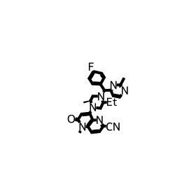 CCC1CN(c2cc(=O)n(C)c3ccc(C#N)nc23)[C@@H](C)CN1C(c1ccc(F)cc1)c1ccnc(C)n1